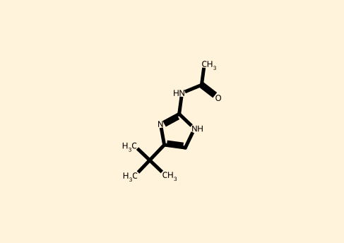 CC(=O)Nc1nc(C(C)(C)C)c[nH]1